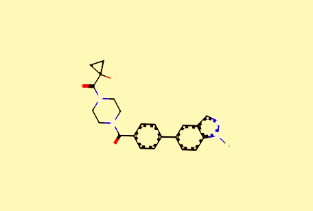 CCCn1ncc2cc(-c3ccc(C(=O)N4CCN(C(=O)C5(O)CC5)CC4)cc3)ccc21